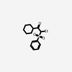 CCC(C(=O)C1CCCCC1)S(=O)(=O)c1ccccc1